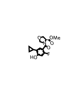 COC(=O)[C@@H]1COCN1C(=O)c1cc(C2CC2)c(O)cc1F